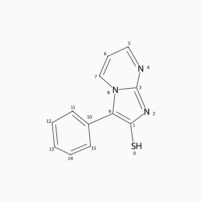 Sc1nc2ncccn2c1-c1ccccc1